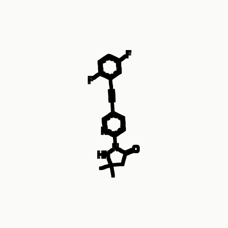 CC1(C)CC(=O)N(c2ccc(C#Cc3cc(F)ccc3F)cn2)N1